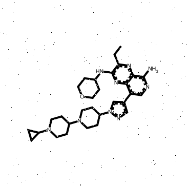 CCc1nc2c(N)ncc(-c3cnn(C4CCN(C5CCN(C6CC6)CC5)CC4)c3)c2nc1NC1CCOCC1